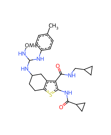 CONC(Nc1ccc(C)cc1)NC1CCc2sc(NC(=O)C3CC3)c(C(=O)NCC3CC3)c2C1